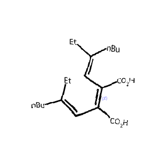 CCCCC(=C/C(C(=O)O)=C(\C=C(CC)CCCC)C(=O)O)CC